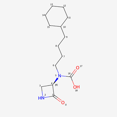 O=C1NC[C@H]1N(CCCCC1CCCCC1)C(=O)O